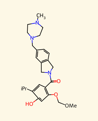 COCOc1cc(O)c(C(C)C)cc1C(=O)N1Cc2ccc(CN3CCN(C)CC3)cc2C1